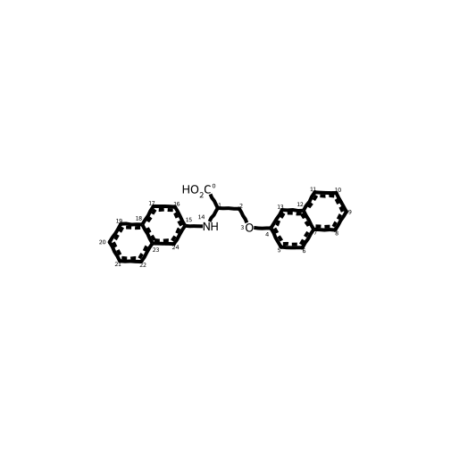 O=C(O)C(COc1ccc2ccccc2c1)Nc1ccc2ccccc2c1